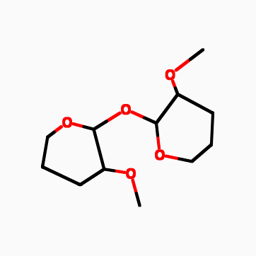 COC1CCCOC1OC1OCCCC1OC